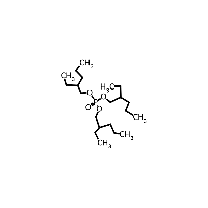 CCCC(CC)COP(=O)(OCC(CC)CCC)OCC(CC)CCC